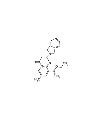 C=C(OCC)c1cc(C)cn2c(=O)cc(N3Cc4ccccc4C3)nc12